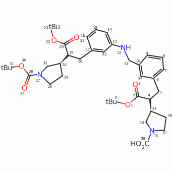 CC(C)(C)OC(=O)C(Cc1cccc(CNc2cccc(CC(C(=O)OC(C)(C)C)[C@H]3CCN(C(=O)OC(C)(C)C)C3)c2)c1)[C@H]1CCN(C(=O)O)C1